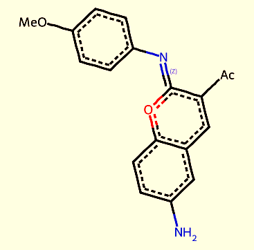 COc1ccc(/N=c2\oc3ccc(N)cc3cc2C(C)=O)cc1